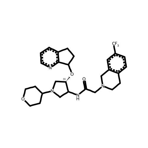 O=C(CN1CCc2ccc(C(F)(F)F)cc2C1)NC1CN(C2CCOCC2)C[C@@H]1OC1CCc2cccnc21